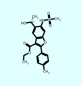 CCOC(=O)c1c(-c2ccc(C)cc2)oc2cc(NS(C)(=O)=O)c([C@@H](C)O)cc12